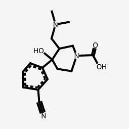 CN(C)CC1CN(C(=O)O)CCC1(O)c1cccc(C#N)c1